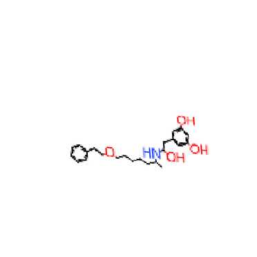 CC(CCCCCOCCc1ccccc1)NC(O)Cc1cc(O)cc(O)c1